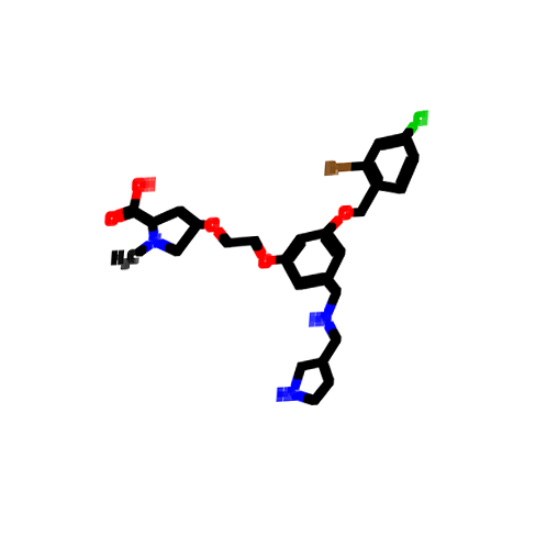 CN1CC(OCCOc2cc(CNCC3CCNC3)cc(OCc3ccc(Cl)cc3Br)c2)CC1C(=O)O